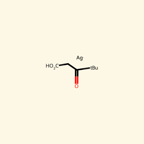 CC(C)(C)C(=O)CC(=O)O.[Ag]